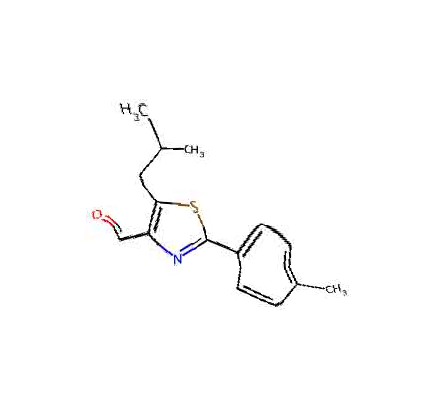 Cc1ccc(-c2nc(C=O)c(CC(C)C)s2)cc1